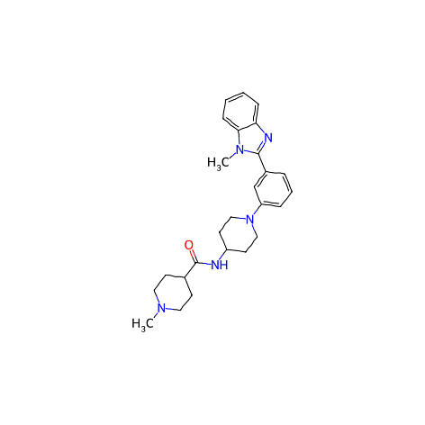 CN1CCC(C(=O)NC2CCN(c3cccc(-c4nc5ccccc5n4C)c3)CC2)CC1